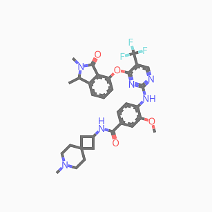 COc1cc(C(=O)NC2CC3(CCN(C)CC3)C2)ccc1Nc1ncc(C(F)(F)F)c(Oc2cccc3c2C(=O)N(C)C3C)n1